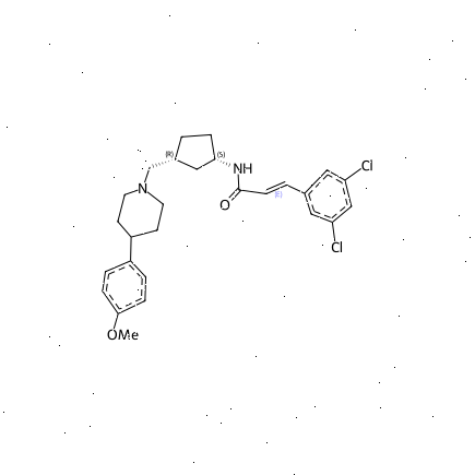 COc1ccc(C2CCN(C[C@@H]3CC[C@H](NC(=O)/C=C/c4cc(Cl)cc(Cl)c4)C3)CC2)cc1